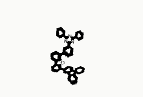 c1ccc(-c2nc(-c3ccccc3)nc(-c3cccc(-c4cccc5c4oc4c(-c6ccc7c(c6)-c6ccccc6C76CCCCC6)cccc45)c3)n2)cc1